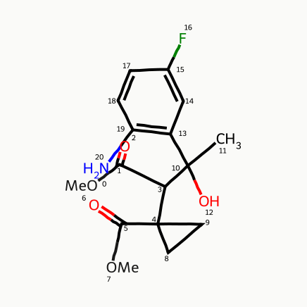 COC(=O)C(C1(C(=O)OC)CC1)C(C)(O)c1cc(F)ccc1N